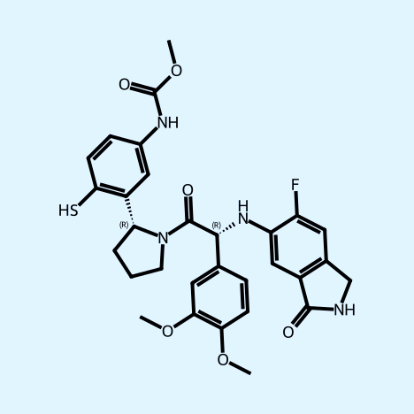 COC(=O)Nc1ccc(S)c([C@H]2CCCN2C(=O)[C@H](Nc2cc3c(cc2F)CNC3=O)c2ccc(OC)c(OC)c2)c1